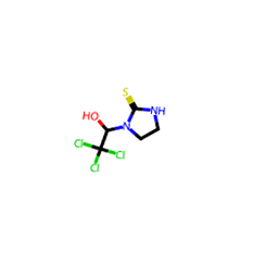 OC(N1CCNC1=S)C(Cl)(Cl)Cl